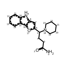 NC(=O)CCC(c1cc2[nH]c3ccccc3c2o1)N1CCCCC1